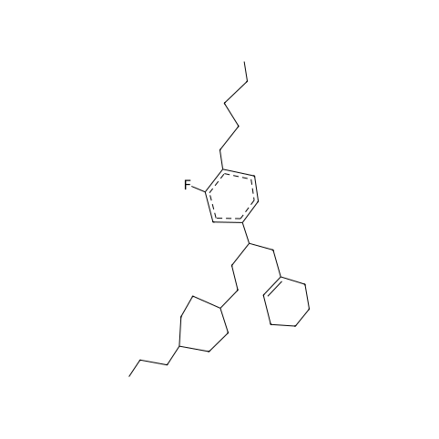 CCCCCc1ccc(C(CCC2CCC(CCC)CC2)CC2=CCCCC2)cc1F